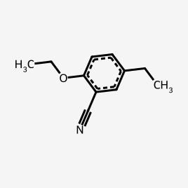 CCOc1ccc(CC)cc1C#N